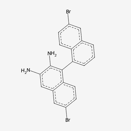 Nc1cc2cc(Br)ccc2c(-c2cccc3cc(Br)ccc23)c1N